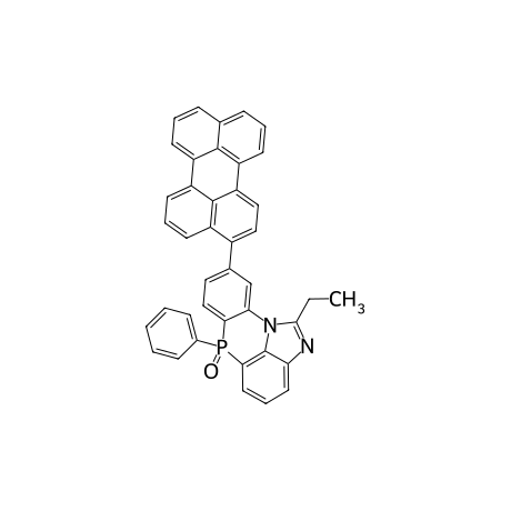 CCc1nc2cccc3c2n1-c1cc(-c2ccc4c5cccc6cccc(c7cccc2c74)c65)ccc1P3(=O)c1ccccc1